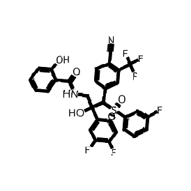 N#Cc1ccc(C(C(O)(CNC(=O)c2ccccc2O)c2ccc(F)c(F)c2)S(=O)(=O)c2cccc(F)c2)cc1C(F)(F)F